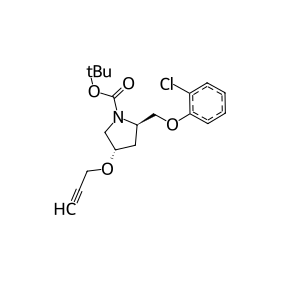 C#CCO[C@H]1C[C@H](COc2ccccc2Cl)N(C(=O)OC(C)(C)C)C1